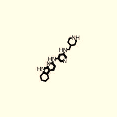 c1ncc(Nc2ccc3c4c([nH]c3n2)CCCC4)cc1NCC1CCNCC1